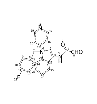 O=CC(=O)NC1=C[N+](Cc2ccc(F)cc2)(c2ccncc2)c2ccccc21